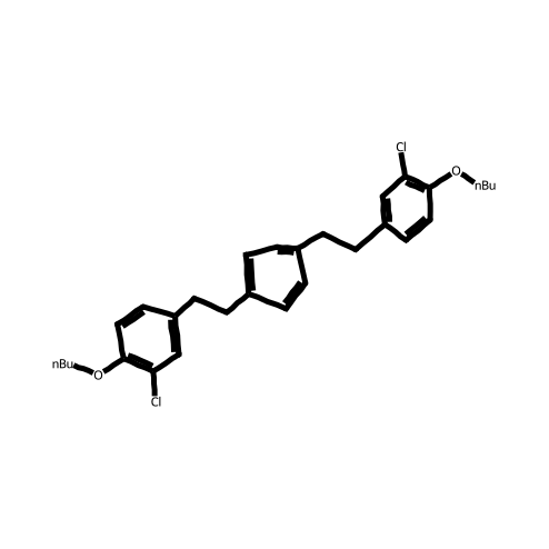 CCCCOc1ccc(CCc2ccc(CCc3ccc(OCCCC)c(Cl)c3)cc2)cc1Cl